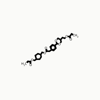 C=CC(=O)OCCC1COC(c2ccc(CC(=O)OCC3CCC(COC(=O)C=C)CC3)cc2)OC1